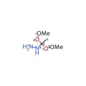 COOC(C)(NN)OOC